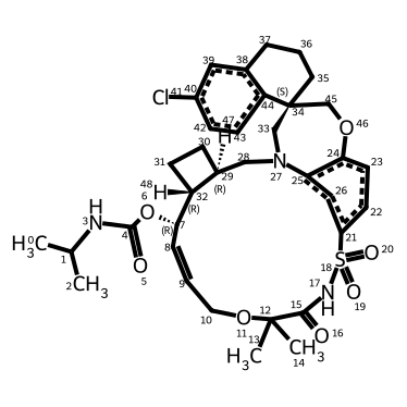 CC(C)NC(=O)O[C@H]1C=CCOC(C)(C)C(=O)NS(=O)(=O)c2ccc3c(c2)N(C[C@@H]2CC[C@H]21)C[C@@]1(CCCc2cc(Cl)ccc21)CO3